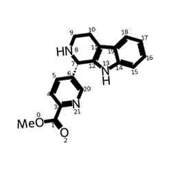 COC(=O)c1ccc([C@@H]2NCCc3c2[nH]c2ccccc32)cn1